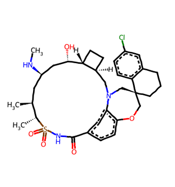 CN[C@@H]1C[C@H](C)[C@@H](C)S(=O)(=O)NC(=O)c2ccc3c(c2)N(C[C@@H]2CC[C@H]2[C@@H](O)C1)C[C@@]1(CCCc2cc(Cl)ccc21)CO3